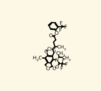 COc1c(C)c2c(c(N(C(=O)C(F)(F)F)C(C)C)c1C/C=C(\C)CCC(=O)Oc1ccccc1C(F)(F)F)C(=O)OC2